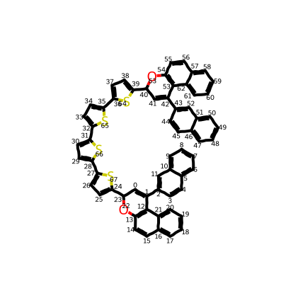 C1=C(c2ccc3ccccc3c2)c2c(ccc3ccccc23)OC1c1ccc(-c2ccc(-c3ccc(-c4ccc(C5C=C(c6ccc7ccccc7c6)c6c(ccc7ccccc67)O5)s4)s3)s2)s1